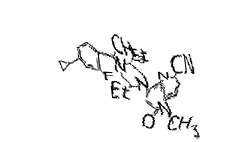 CC[C@H]1CN(C(C)c2ccc(C3CC3)cc2F)[C@H](CC)CN1c1cc(=O)n(C)c2ccc(C#N)nc12